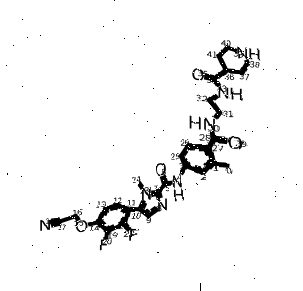 Cc1cc(NC(=O)c2ncc(-c3ccc(OCC#N)c(F)c3F)n2C)ccc1C(=O)NCCNC(=O)C1CCNCC1